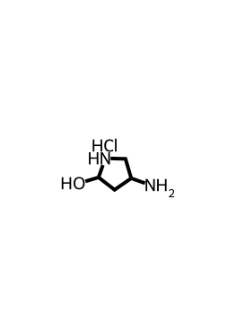 Cl.NC1CNC(O)C1